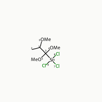 COC(C)C(OC)(OC)[Si](Cl)(Cl)Cl